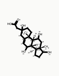 C[C@]12CCC(O)(CC(=O)O)CC1=CC(O)[C@@H]1[C@H]2C(O)C[C@]2(C)C(O)CC[C@@H]12